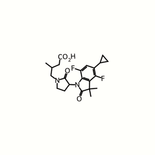 CC(CC(=O)O)CN1CCC(N2C(=O)C(C)(C)c3c(F)c(C4CC4)cc(F)c32)C1=O